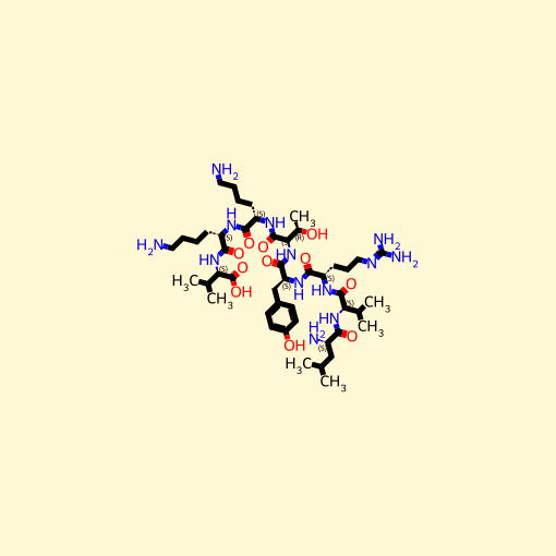 CC(C)C[C@H](N)C(=O)N[C@H](C(=O)N[C@@H](CCCN=C(N)N)C(=O)N[C@@H](Cc1ccc(O)cc1)C(=O)N[C@H](C(=O)N[C@@H](CCCCN)C(=O)N[C@@H](CCCCN)C(=O)N[C@H](C(=O)O)C(C)C)[C@@H](C)O)C(C)C